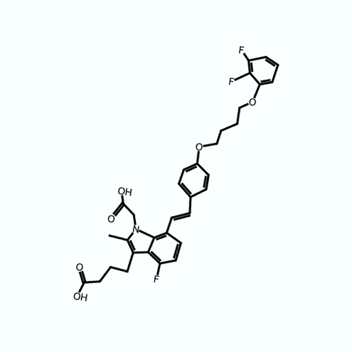 Cc1c(CCCC(=O)O)c2c(F)ccc(C=Cc3ccc(OCCCCOc4cccc(F)c4F)cc3)c2n1CC(=O)O